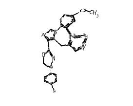 COc1ccc2c(c1)-n1nncc1Cc1c(C3=N[C@H](c4ccc(F)cc4)CO3)ncn1-2